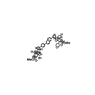 COC(=O)N[C@H](C(=O)N1[C@H](c2ncc(-c3ccc(-c4ccc5cc(-c6cnc([C@@H]7C[C@H]8C[C@H]8N7C(=O)[C@@H](NC(=O)OC)C7CCOCC7)[nH]6)ccc5c4)cc3)[nH]2)C2[C@@H]3[C@H]1[C@]23C)C(C)C